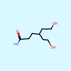 [NH]C(=O)CCC(CCO)CCO